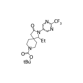 CCC1N(c2cnc(C(F)(F)F)nc2)C(=O)CC12CCN(C(=O)OC(C)(C)C)CC2